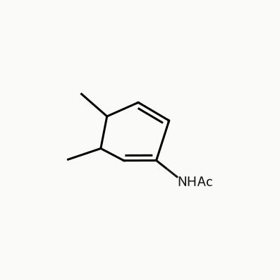 CC(=O)NC1=CC(C)C(C)C=C1